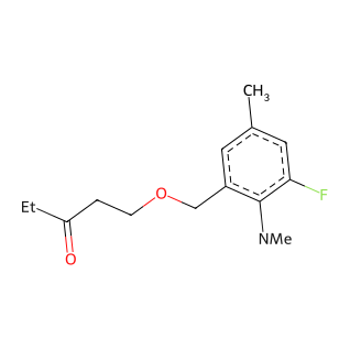 CCC(=O)CCOCc1cc(C)cc(F)c1NC